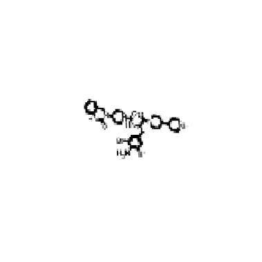 Nc1c(Br)cc(C[C@@H](NC(=O)N2CCC(N3Cc4ccccc4NC3=O)CC2)C(=O)N2CCC(C3CCNCC3)CC2)cc1Br